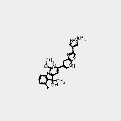 COc1nc(C2=CNc3ncc(-c4cnn(C)c4)nc3C2)cc(C(C)(O)c2ccccc2F)n1